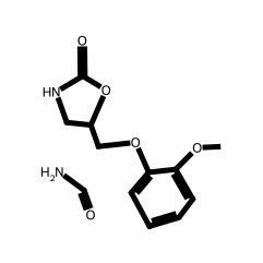 COc1ccccc1OCC1CNC(=O)O1.NC=O